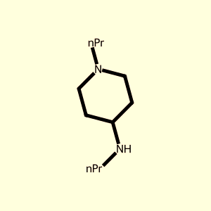 CCCNC1CCN(CCC)CC1